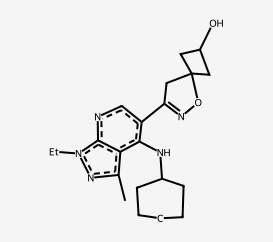 CCn1nc(C)c2c(NC3CCCCC3)c(C3=NOC4(C3)CC(O)C4)cnc21